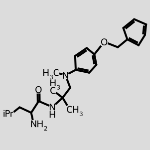 CC(C)CC(N)C(=O)NC(C)(C)CN(C)c1ccc(OCc2ccccc2)cc1